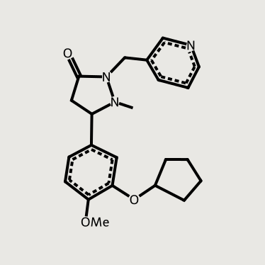 COc1ccc(C2CC(=O)N(Cc3cccnc3)N2C)cc1OC1CCCC1